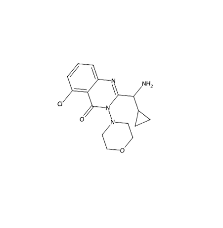 NC(c1nc2cccc(Cl)c2c(=O)n1N1CCOCC1)C1CC1